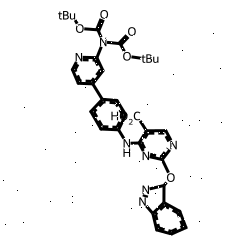 CC(C)(C)OC(=O)N(C(=O)OC(C)(C)C)c1cc(-c2ccc(Nc3nc(OC4N=Nc5ccccc54)ncc3C(=O)O)cc2)ccn1